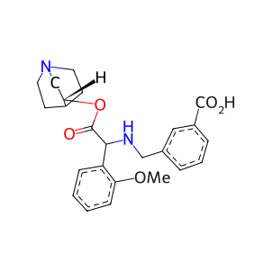 COc1ccccc1C(NCc1cccc(C(=O)O)c1)C(=O)O[C@H]1CN2CCC1CC2